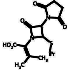 CC(C)=C(C(=O)O)N1C(=O)C(N2C(=O)CCC2=O)C1SC(C)C